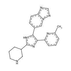 Cc1cccc(-c2nc(C3CCCNC3)[nH]c2-c2ccc3ncnn3c2)n1